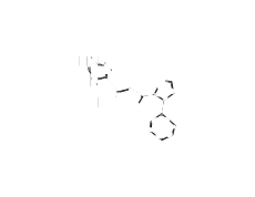 O=C(C=C(O)c1nc[nH]n1)c1occc1-c1ccccc1